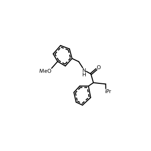 COc1cccc(CNC(=O)C(CC(C)C)c2ccccc2)c1